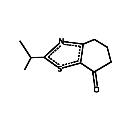 CC(C)c1nc2c(s1)C(=O)CCC2